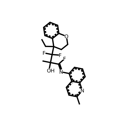 CCC1(C(F)(F)C(C)(O)C(F)=Nc2cccc3nc(C)ccc23)CCOc2ccccc21